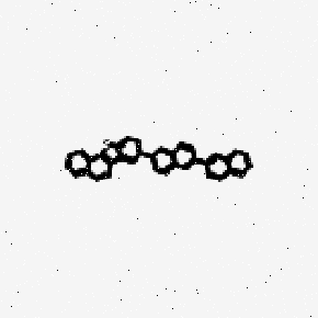 c1ccc2cc(-c3ccc4cc(-c5ccc6sc7c8ccccc8ccc7c6c5)ccc4c3)ccc2c1